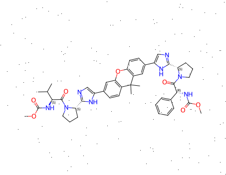 COC(=O)N[C@H](C(=O)N1CCC[C@H]1c1ncc(-c2ccc3c(c2)Oc2ccc(-c4cnc([C@@H]5CCCN5C(=O)[C@H](NC(=O)OC)c5ccccc5)[nH]4)cc2C3(C)C)[nH]1)C(C)C